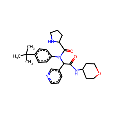 CC(C)(C)c1ccc(N(C(=O)C2CCCN2)C(C(=O)NC2CCOCC2)c2cccnc2)cc1